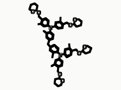 Cc1cc(N(c2ccc(COC3CCCCO3)c(C)c2)c2ccc(Cc3ccc(N(c4ccc(COC5CCCCO5)c(C)c4)c4ccc(COC5CCCCO5)c(C)c4)c(C)c3)cc2C)ccc1COC1CCCCO1